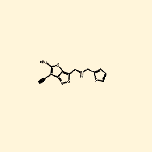 C#Cc1c(CCCC)sc2c(CNCc3cccs3)snc12